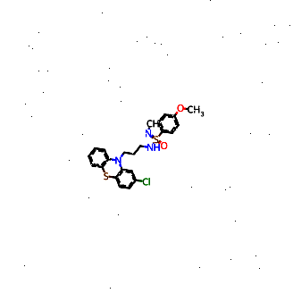 CN=S(=O)(NCCCN1c2ccccc2Sc2ccc(Cl)cc21)c1ccc(OC)cc1